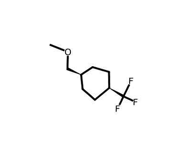 COC[C@H]1CC[C@@H](C(F)(F)F)CC1